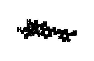 CC(C)C(C#N)(CCCN1CCN(CCOc2cccc(C#N)c2)CC1)c1ccc(C#N)s1